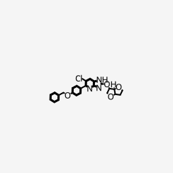 Clc1cc2[nH]c(OC3COC4CCO[C@@H]43)nc2nc1-c1ccc(OCc2ccccc2)cc1